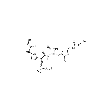 CC(C)(C)OC(=O)NCC1CN(C[C@H]2NC(=O)[C@H]2NC(=O)C(=NOC2(C(=O)O)CC2)c2csc(NC(=O)OC(C)(C)C)n2)C(=O)O1